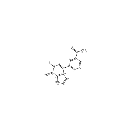 Cn1cc(-c2cccc(C(N)=O)c2)c2cc[nH]c2c1=O